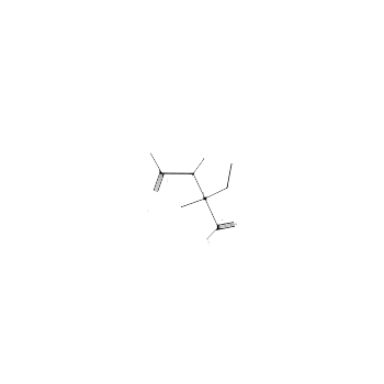 CCC(C)(C(=O)O)C(O)C(=O)O